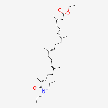 CCCN(CCC)C(=O)C(C)=CCCC(C)=CCCC(C)=CCCC(C)=CCCC(C)=CC(=O)OCC